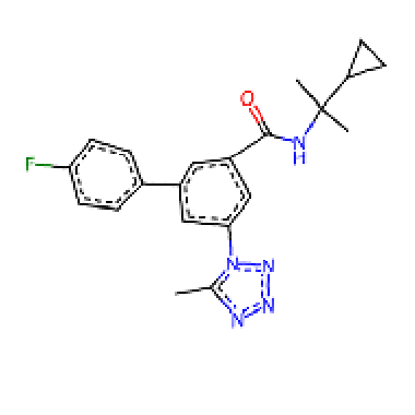 Cc1nnnn1-c1cc(C(=O)NC(C)(C)C2CC2)cc(-c2ccc(F)cc2)c1